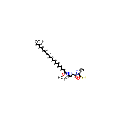 CC(C)C[C@H](N[C@@H](O)CC[C@H](NC(=O)CCCCCCCCCCCCCCCCCCC(=O)O)C(=O)O)C(=O)S